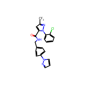 O=C(NCc1ccc(-n2cccn2)cc1)c1cc(C(F)(F)F)nn1-c1ccccc1Cl